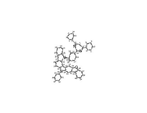 c1ccc(-c2cc(-c3ccccc3)nc(-c3cccc(-n4c5ccccc5c5ccc6c(c7cc8oc9ccccc9c8cc7n6-c6ccccc6)c54)c3)n2)cc1